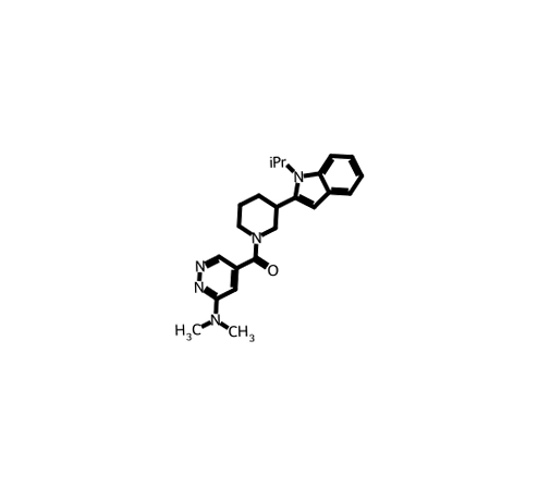 CC(C)n1c(C2CCCN(C(=O)c3cnnc(N(C)C)c3)C2)cc2ccccc21